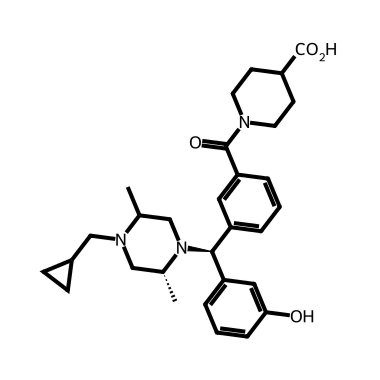 CC1CN([C@H](c2cccc(O)c2)c2cccc(C(=O)N3CCC(C(=O)O)CC3)c2)[C@H](C)CN1CC1CC1